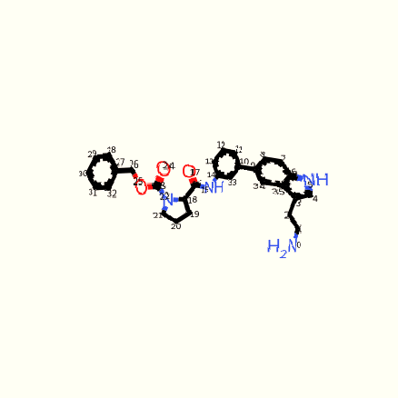 NCCc1c[nH]c2ccc(-c3cccc(NC(=O)C4CCCN4C(=O)OCc4ccccc4)c3)cc12